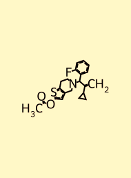 C=C(C1CC1)C(c1ccccc1F)N1CCc2sc(OC(C)=O)cc2C1